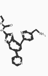 CCNC(=O)Nc1nc2cc(-c3cccnc3)cc(-c3ccc(CN)cn3)c2s1